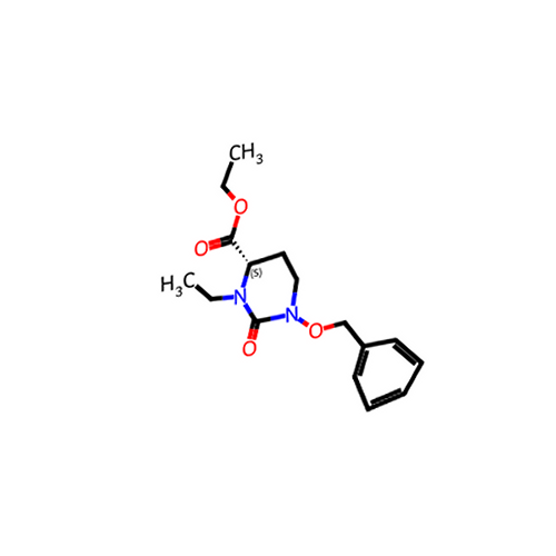 CCOC(=O)[C@@H]1CCN(OCc2ccccc2)C(=O)N1CC